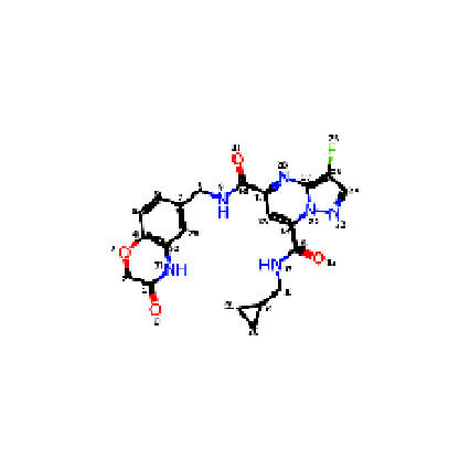 O=C1COc2ccc(CNC(=O)c3cc(C(=O)NCC4CC4)n4ncc(F)c4n3)cc2N1